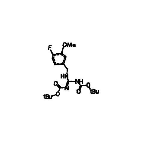 COc1cc(CN/C(=N\C(=O)OC(C)(C)C)NC(=O)OC(C)(C)C)ccc1F